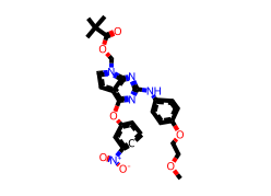 COCCOc1ccc(Nc2nc(Oc3cccc([N+](=O)[O-])c3)c3ccn(COC(=O)C(C)(C)C)c3n2)cc1